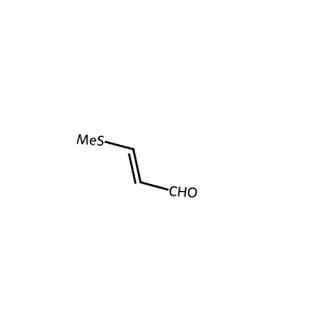 CSC=CC=O